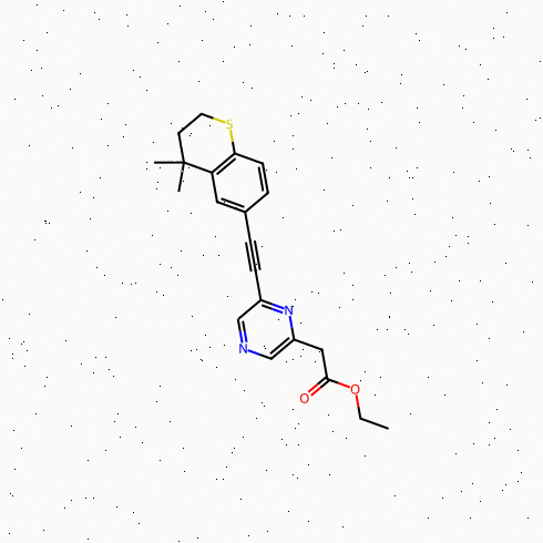 CCOC(=O)Cc1cncc(C#Cc2ccc3c(c2)C(C)(C)CCS3)n1